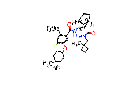 CCC[C@]1(C)CC[C@@H](Oc2cc(C(=O)N[C@@H]3[C@H]4CC[C@H](C4)[C@@H]3C(=O)NCC3(C)CCC3)c(OC)cc2F)CC1